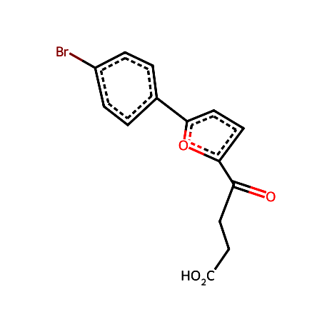 O=C(O)CCC(=O)c1ccc(-c2ccc(Br)cc2)o1